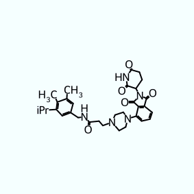 Cc1cc(CNC(=O)CCN2CCN(c3cccc4c3C(=O)N(C3CCC(=O)NC3=O)C4=O)CC2)cc(C(C)C)c1C